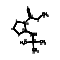 CCC(=O)[C@H]1CCC[C@@H]1NC(C)(C)C